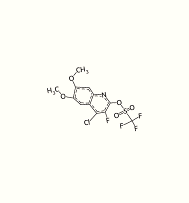 COc1cc2nc(OS(=O)(=O)C(F)(F)F)c(F)c(Cl)c2cc1OC